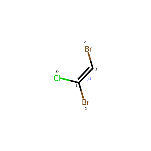 Cl/C(Br)=[C]\Br